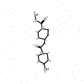 O=C(CC1CCN(C(=O)OS)CC1)N1CCC(O)CC1